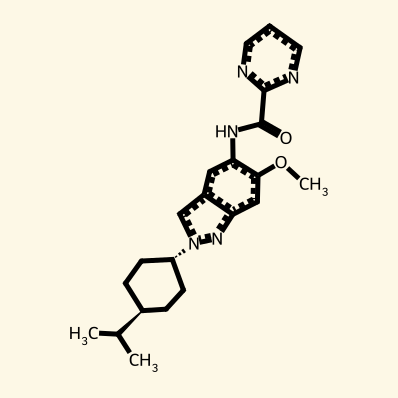 COc1cc2nn([C@H]3CC[C@H](C(C)C)CC3)cc2cc1NC(=O)c1ncccn1